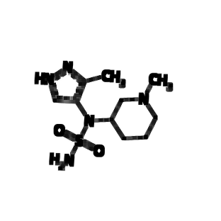 Cc1n[nH]cc1N(C1CCCN(C)C1)S(N)(=O)=O